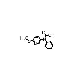 COc1ccc(N(C(=O)O)c2ccccc2)cn1